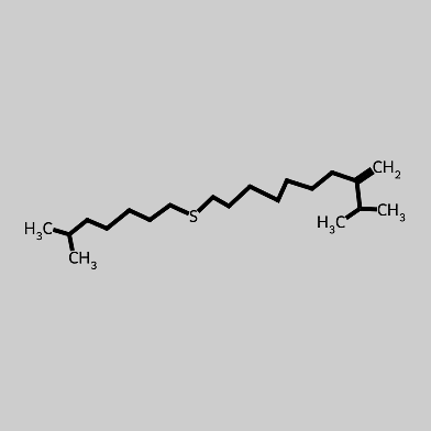 C=C(CCCCCCCSCCCCCC(C)C)C(C)C